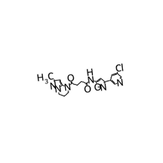 Cc1cc2n(n1)CCCN2C(=O)CCC(=O)Nc1cc(-c2cncc(Cl)c2)no1